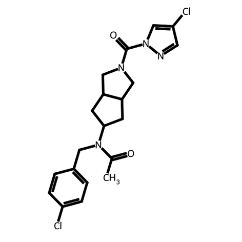 CC(=O)N(Cc1ccc(Cl)cc1)C1CC2CN(C(=O)n3cc(Cl)cn3)CC2C1